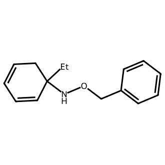 CCC1(NOCc2ccccc2)C=CC=CC1